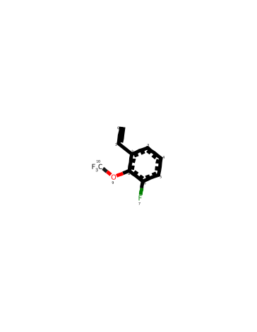 C=[C]c1cccc(F)c1OC(F)(F)F